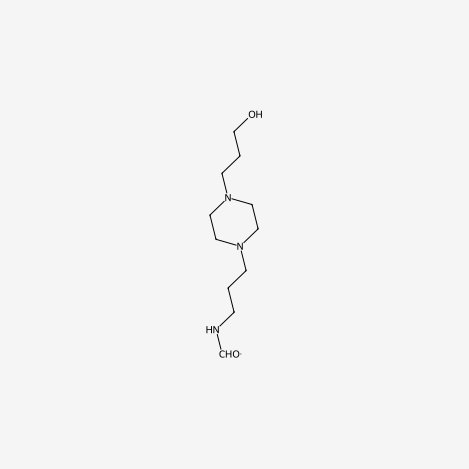 O=[C]NCCCN1CCN(CCCO)CC1